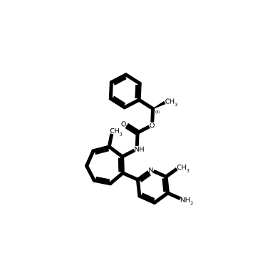 CC1=CCC=CC(c2ccc(N)c(C)n2)=C1NC(=O)O[C@H](C)c1ccccc1